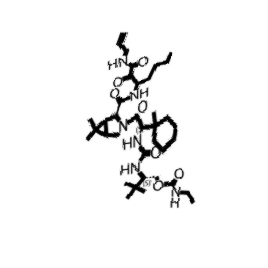 C=CCNC(=O)C(=O)C(CCCC)NC(=O)[C@@H]1C2C(CN1C(=O)[C@@H](NC(=O)N[C@H](COC(=O)NCC)C(C)(C)C)C1(C)CCCCC1)C2(C)C